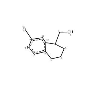 OCC1CCCc2cnc(Cl)cc21